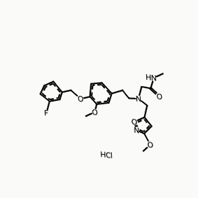 CNC(=O)CN(CCc1ccc(OCc2cccc(F)c2)c(OC)c1)Cc1cc(OC)no1.Cl